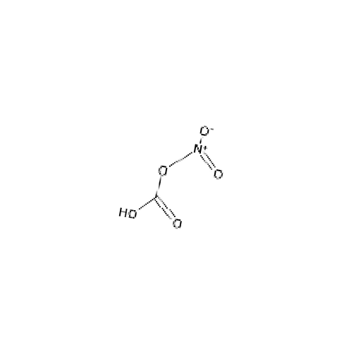 O=C(O)O[N+](=O)[O-]